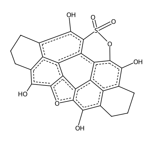 O=S1(=O)Oc2c(O)c3c4c(c(O)c5oc6c(O)c7c8c(c(O)c1c1c2c4c5c6c81)CCC7)CCC3